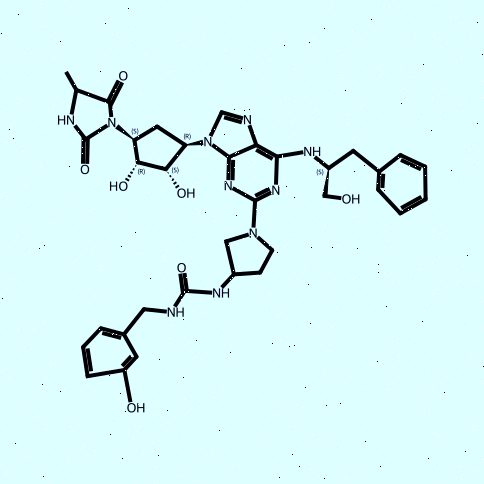 CC1NC(=O)N([C@H]2C[C@@H](n3cnc4c(N[C@H](CO)Cc5ccccc5)nc(N5CCC(NC(=O)NCc6cccc(O)c6)C5)nc43)[C@H](O)[C@@H]2O)C1=O